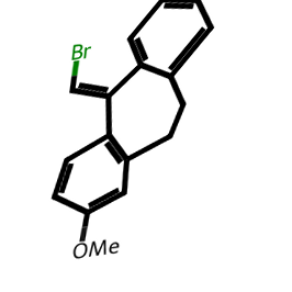 COc1ccc2c(c1)CCc1ccccc1C2=CBr